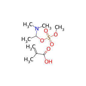 C=C(C)C(=O)O.COS(=O)(=O)OC(C)N(C)C